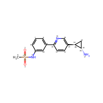 CS(=O)(=O)Nc1cccc(-c2ccc([C@H]3C[C@@H]3N)cn2)c1